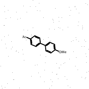 COc1ccc(-c2ccc(C(C)=O)cc2)cc1